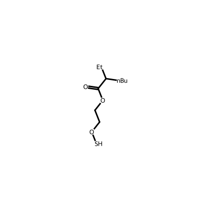 CCCCC(CC)C(=O)OCCOS